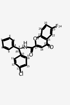 O=C(N[C@H](c1ccccc1)c1ccc(Cl)cc1)c1cc(=O)c2cc(F)ccc2o1